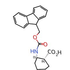 O=C(N[C@H]1CCCC[C@H]1C(=O)O)OCC1c2ccccc2-c2ccccc21